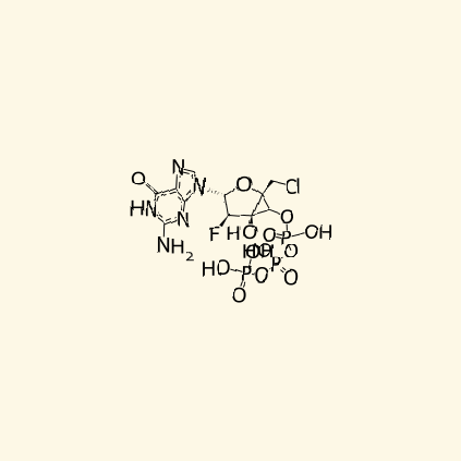 Nc1nc2c(ncn2[C@@H]2O[C@]3(CCl)C(OP(=O)(O)OP(=O)(O)OP(=O)(O)O)[C@]3(O)[C@H]2F)c(=O)[nH]1